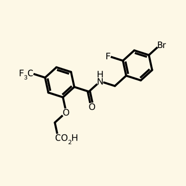 O=C(O)COc1cc(C(F)(F)F)ccc1C(=O)NCc1ccc(Br)cc1F